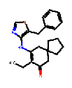 CCC1=C(Nc2ncsc2Cc2ccccc2)CC2(CCCC2)CC1=O